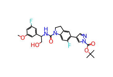 COc1cc(F)cc(C(CO)NC(=O)N2CCc3cc(-c4cnn(C(=O)OC(C)(C)C)c4)c(F)cc32)c1